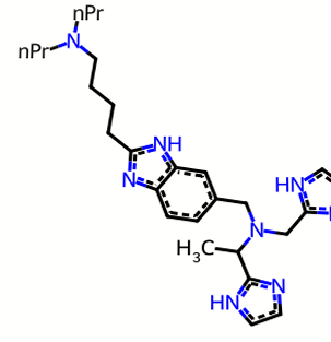 CCCN(CCC)CCCCc1nc2ccc(CN(Cc3ncc[nH]3)C(C)c3ncc[nH]3)cc2[nH]1